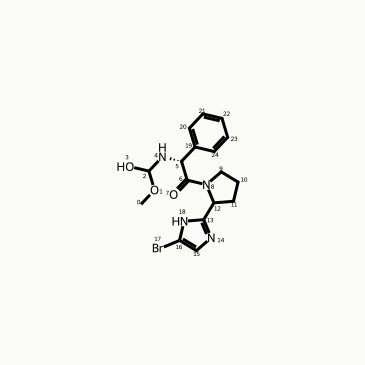 COC(O)N[C@@H](C(=O)N1CCCC1c1ncc(Br)[nH]1)c1ccccc1